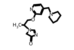 CC(COc1cc(CN2CCCCC2)ccn1)N1C=NC(=O)C1